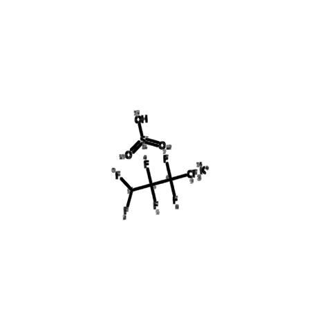 F[C](F)C(F)(F)C(F)(F)C(F)(F)F.O=[S-](=O)O.[K+]